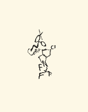 CC(C)(C)OC(=O)N1CCC[C@H]1c1cc(Cl)cc2c1CCN(CC(F)(F)F)C2